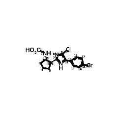 O=C(O)N[C@H]1CCC[C@@H]1c1nc(Cl)c(-c2ccc(Br)cc2)[nH]1